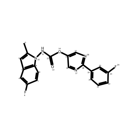 Cc1cc2cc(F)ccc2n1NC(=O)Oc1cnc(-c2cccc(F)c2)nc1